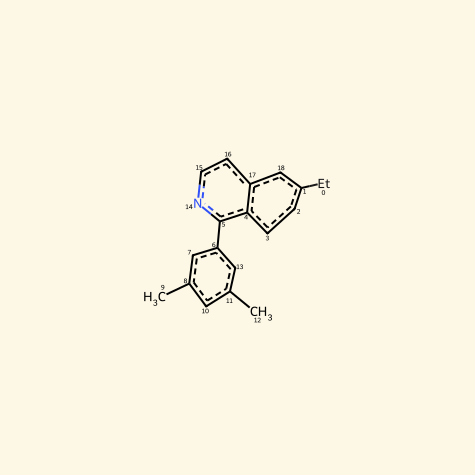 CCc1ccc2c(-c3cc(C)cc(C)c3)nccc2c1